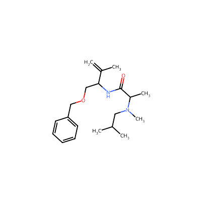 C=C(C)C(COCc1ccccc1)NC(=O)C(C)N(C)CC(C)C